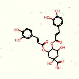 O=C(C=Cc1ccc(O)c(O)c1)OC1CC(O)(C(=O)O)CC(O)C1OC(=O)C=Cc1ccc(O)c(O)c1